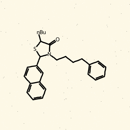 CCCCC1SC(c2ccc3ccccc3c2)N(CCCCc2ccccc2)C1=O